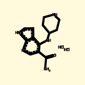 Cl.Cl.NC(=O)c1cnc2[nH]ccc2c1NC1CCNCC1